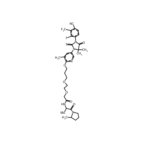 Cc1cc(N2C(=S)N(c3ccc(C#N)c(C(F)(F)F)c3F)C(=O)C2(C)C)cnc1OCCCOCCOCC(=O)NC(C(=O)N1CCCC1C)C(C)(C)C